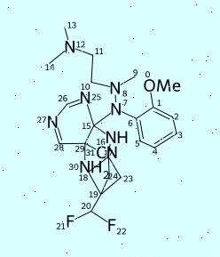 COc1ccccc1N(N(C)CCN(C)C)C1(NC23CC(C(F)F)(C2)C3)N=CN=CC1(N)C#N